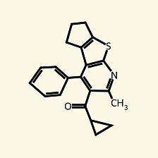 Cc1nc2sc3c(c2c(-c2ccccc2)c1C(=O)C1CC1)CCC3